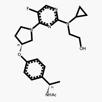 CC(=O)N[C@@H](C)c1ccc(O[C@@H]2CCN(c3nc(N(CCO)C4CC4)ncc3F)C2)cc1